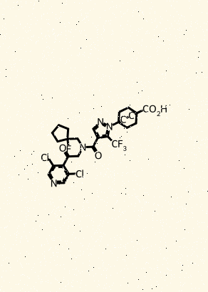 O=C(CN(CC1(F)CCCC1)C(=O)c1cnn(C23CCC(C(=O)O)(CC2)CC3)c1C(F)(F)F)c1c(Cl)cncc1Cl